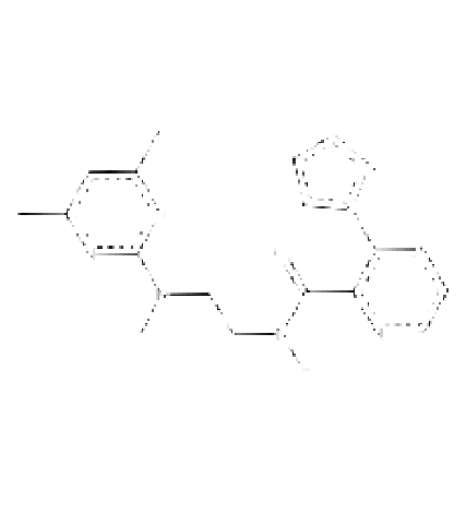 CCN(CCN(C)c1nc(C)cc(C)n1)C(=O)c1nccnc1-n1cccn1